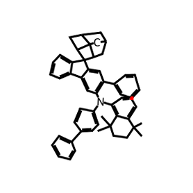 CC1(C)CCC(C)(C)c2c(N(c3ccc(-c4ccccc4)cc3)c3cc4c(cc3-c3ccccc3)C3(c5ccccc5-4)C4CC5CC6CC3C64C5)cccc21